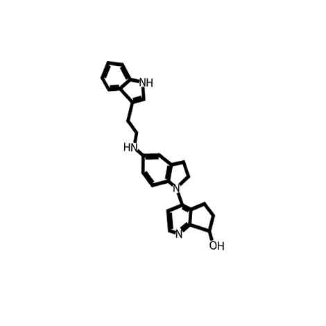 OC1CCc2c(N3CCc4cc(NCCc5c[nH]c6ccccc56)ccc43)ccnc21